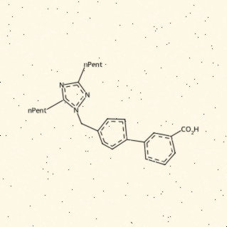 CCCCCc1nc(CCCCC)n(Cc2ccc(-c3cccc(C(=O)O)c3)cc2)n1